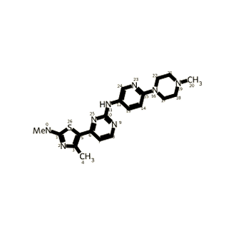 CNc1nc(C)c(-c2ccnc(Nc3ccc(N4CCN(C)CC4)nc3)n2)s1